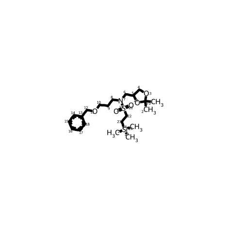 CC1(C)OCC(CN(CCCOCc2ccccc2)S(=O)(=O)CC[Si](C)(C)C)O1